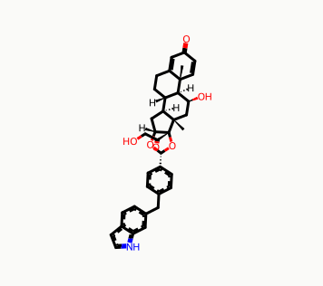 C[C@]12C=CC(=O)C=C1CC[C@@H]1[C@@H]2[C@@H](O)C[C@@]2(C)[C@H]1C[C@H]1O[C@@H](c3ccc(Cc4ccc5cc[nH]c5c4)cc3)O[C@]12C(=O)CO